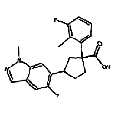 Cc1c(F)cccc1[C@]1(C(=O)O)CCC(c2cc3c(cnn3C)cc2F)C1